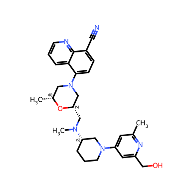 Cc1cc(N2CCC[C@H](N(C)C[C@H]3CN(c4ccc(C#N)c5ncccc45)C[C@@H](C)O3)C2)cc(CO)n1